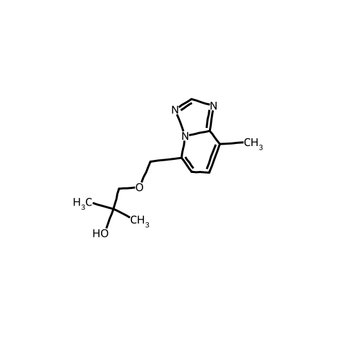 Cc1ccc(COCC(C)(C)O)n2ncnc12